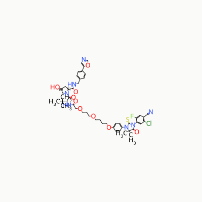 CC(C)(C)C(NC(=O)COCCCOCCCCOc1ccc(N2C(=S)N(c3cc(Cl)c(C#N)cc3F)C(=O)C2(C)C)cc1)C(=O)N1C[C@H](O)C[C@H]1C(=O)NCc1ccc(-c2cnco2)cc1